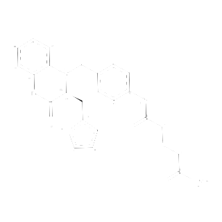 COC(=O)CSCC(=O)Nc1ccc(CN2c3ccccc3NC(=O)[C@@H]2Cc2cccs2)cc1